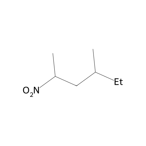 CCC(C)CC(C)[N+](=O)[O-]